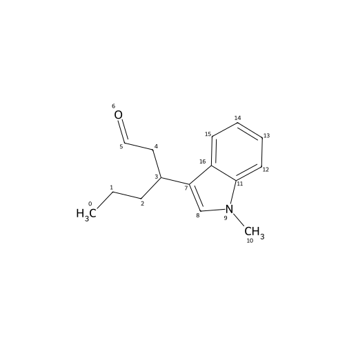 CCCC(CC=O)c1cn(C)c2ccccc12